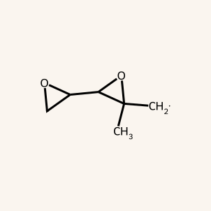 [CH2]C1(C)OC1C1CO1